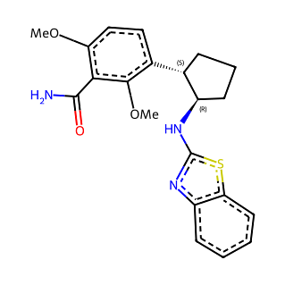 COc1ccc([C@@H]2CCC[C@H]2Nc2nc3ccccc3s2)c(OC)c1C(N)=O